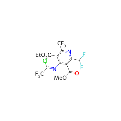 CCOC(=O)c1c(C(F)(F)F)nc(C(F)F)c(C(=O)OC)c1/N=C(\Cl)C(F)(F)F